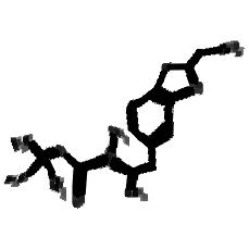 CC(Cc1ccc2c(c1)OC(CN)O2)N(C)C(=O)OC(C)(C)C